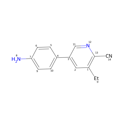 CCc1cc(-c2ccc(N)cc2)cnc1C#N